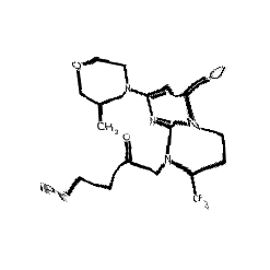 CC(C)CCC(=O)CN1c2nc(N3CCOCC3C)cc(=O)n2CCC1C(F)(F)F